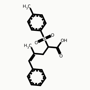 CC(=Cc1ccccc1)CC(C(=O)O)S(=O)(=O)c1ccc(C)cc1